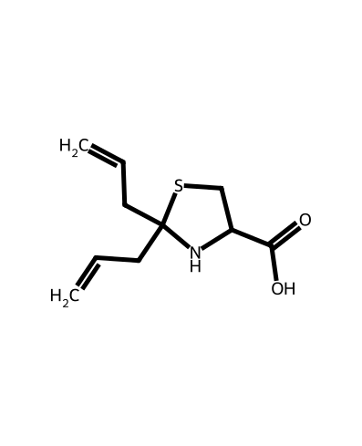 C=CCC1(CC=C)NC(C(=O)O)CS1